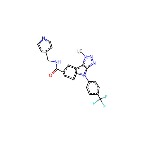 Cn1nnc2c1c1cc(C(=O)NCc3ccncc3)ccc1n2-c1ccc(C(F)(F)F)cc1